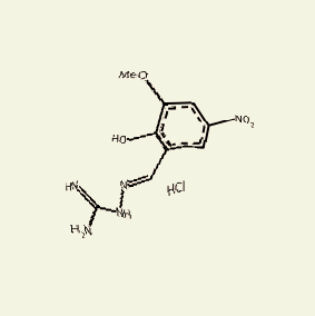 COc1cc([N+](=O)[O-])cc(/C=N/NC(=N)N)c1O.Cl